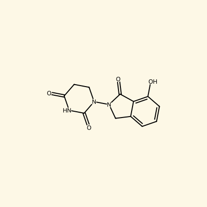 O=C1CCN(N2Cc3cccc(O)c3C2=O)C(=O)N1